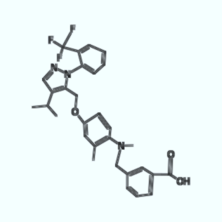 Cc1cc(OCc2c(C(C)C)cnn2-c2ccccc2C(F)(F)F)ccc1N(C)Cc1cccc(C(=O)O)c1